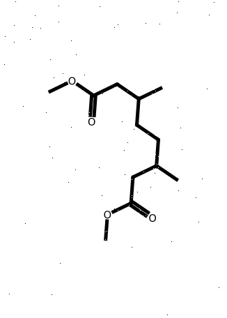 COC(=O)C[C](C)CC[C](C)CC(=O)OC